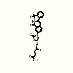 O=C(O)CCC(=O)OC[C@H]1CN(c2ccc3cc(-c4ccccc4C(F)(F)F)[nH]c(=O)c3c2)C(=O)O1